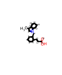 Cc1cn(Cc2ccccc2C=CC(=O)O)c2ccccc12